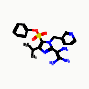 CC(C)c1nc(C(N)=C(N)N)n(Cc2cccnc2)c1S(=O)(=O)Oc1ccccc1